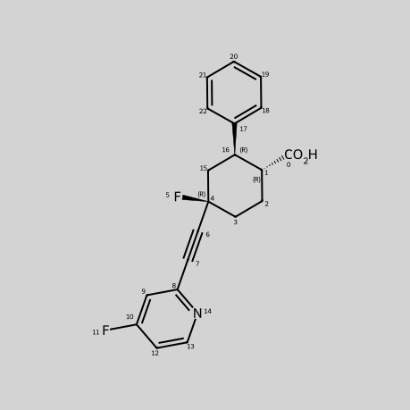 O=C(O)[C@@H]1CC[C@](F)(C#Cc2cc(F)ccn2)C[C@H]1c1ccccc1